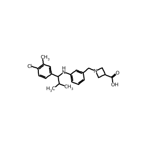 Cc1cc(C(Nc2cccc(CN3CC(C(=O)O)C3)c2)C(C)C)ccc1Cl